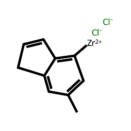 Cc1c[c]([Zr+2])c2c(c1)CC=C2.[Cl-].[Cl-]